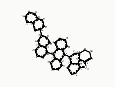 C1=c2oc3cccc4c(-c5c6ccccc6c(-c6cccc7cc(-c8ccc9ccccc9c8)ccc67)c6ccccc56)cc(c2c34)CC1